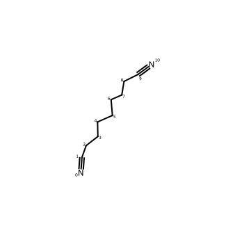 N#CCCCCCCCC#N